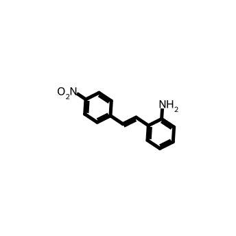 Nc1ccccc1C=Cc1ccc([N+](=O)[O-])cc1